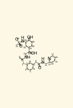 C[C@H](Cc1cccc(CC(=O)NCc2ccccn2)c1)NC[C@H](O)c1ccc(O)c(NS(C)(=O)=O)c1